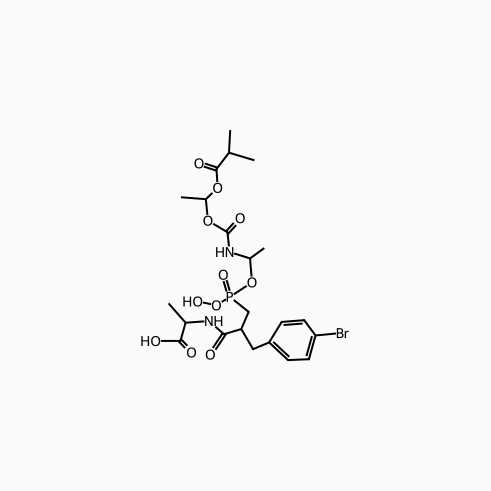 CC(NC(=O)OC(C)OC(=O)C(C)C)OP(=O)(CC(Cc1ccc(Br)cc1)C(=O)NC(C)C(=O)O)OO